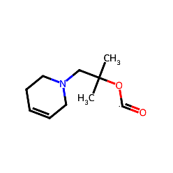 CC(C)(CN1CC=CCC1)O[C]=O